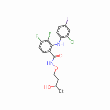 CCC(O)CCONC(=O)c1ccc(F)c(F)c1Nc1ccc(I)cc1Cl